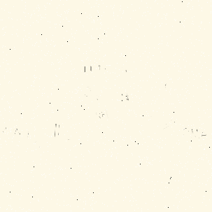 COc1cc(F)c(-c2cnc(N)c(C(=O)Nc3ccc(SNC(C)=O)cc3)n2)c(F)c1